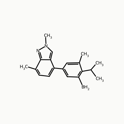 Bc1cc(-c2ccc(C)c3nn(C)cc23)cc(C)c1C(C)C